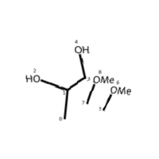 CC(O)CO.COC.COC